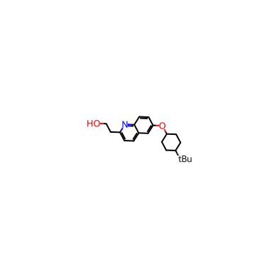 CC(C)(C)C1CCC(Oc2ccc3nc(CCO)ccc3c2)CC1